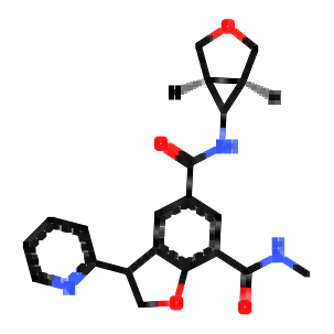 CNC(=O)c1cc(C(=O)NC2[C@H]3COC[C@@H]23)cc2c1OCC2c1ccccn1